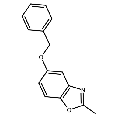 Cc1nc2cc(OCc3ccccc3)ccc2o1